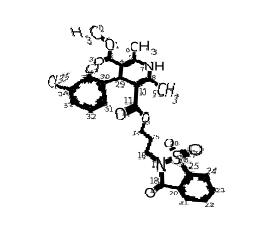 COC(=O)C1=C(C)NC(C)=C(C(=O)OCCCN2C(=O)c3ccccc3S2(=O)=O)C1c1cccc(Cl)c1Cl